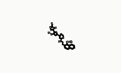 CCOc1cc(-c2cc(NCCc3ccc4ccccc4c3C=O)ncn2)sc1-c1noc(=O)[nH]1